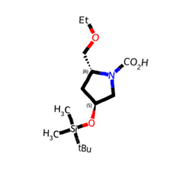 CCOC[C@H]1C[C@H](O[Si](C)(C)C(C)(C)C)CN1C(=O)O